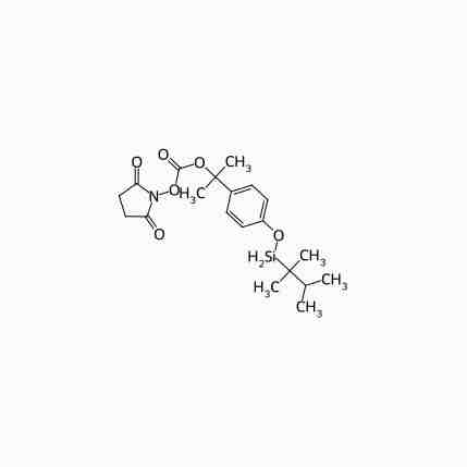 CC(C)C(C)(C)[SiH2]Oc1ccc(C(C)(C)OC(=O)ON2C(=O)CCC2=O)cc1